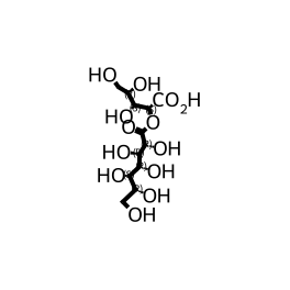 O=C(O)[C@@H](OC(=O)[C@H](O)[C@H](O)[C@H](O)[C@@H](O)[C@H](O)CO)[C@@H](O)[C@H](O)CO